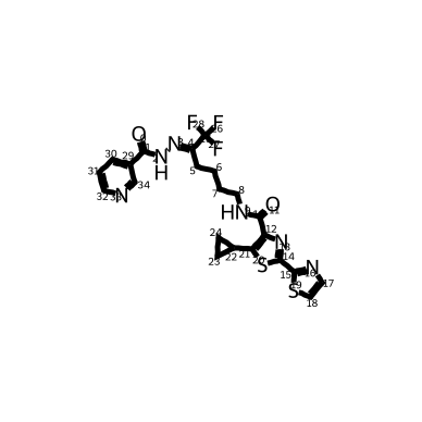 O=C(N/N=C(\CCCCNC(=O)c1nc(-c2nccs2)sc1C1CC1)C(F)(F)F)c1cccnc1